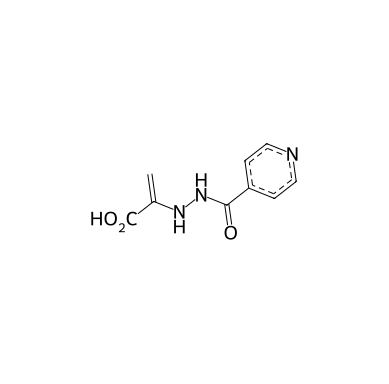 C=C(NNC(=O)c1ccncc1)C(=O)O